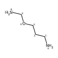 NCCCOC[SiH2]